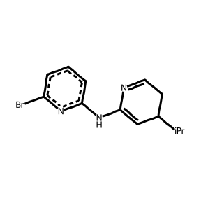 CC(C)C1C=C(Nc2cccc(Br)n2)N=CC1